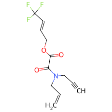 C#CCN(CC=C)C(=O)C(=O)OC/C=C/C(F)(F)F